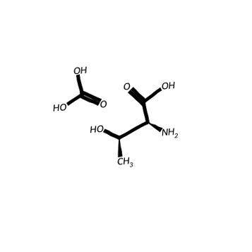 C[C@@H](O)[C@H](N)C(=O)O.O=C(O)O